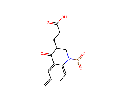 C=C/C=C1/C(=O)[C@@H](CCC(=O)O)CN([SH](=O)=O)/C1=C/C